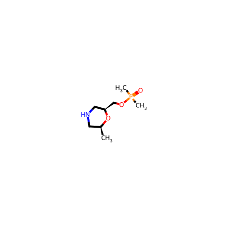 C[C@H]1CNC[C@@H](COP(C)(C)=O)O1